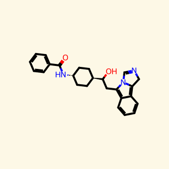 O=C(N[C@H]1CC[C@H](C(O)Cc2c3ccccc3c3n2C=NC3)CC1)c1ccccc1